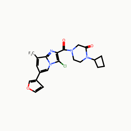 O=C(c1nc2c(C(F)(F)F)cc(-c3ccoc3)cn2c1Cl)N1CCN(C2CCC2)C(=O)C1